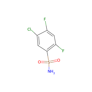 NS(=O)(=O)c1cc(Cl)c(F)cc1F